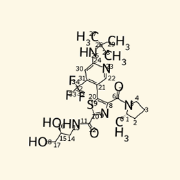 C[C@H]1CCCN1C(=O)c1nc(C(=O)NC[C@H](O)CO)sc1-c1cnc(NC(C)(C)C)cc1C(F)(F)F